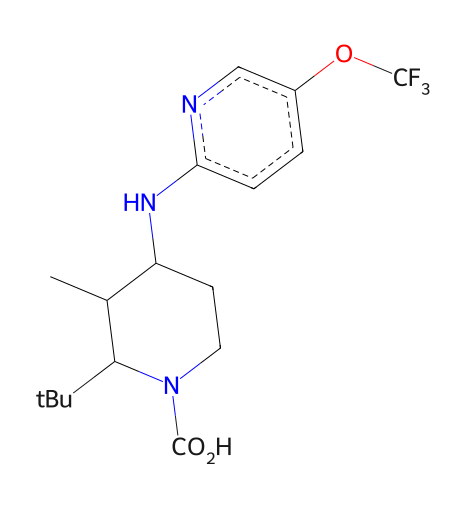 CC1C(Nc2ccc(OC(F)(F)F)cn2)CCN(C(=O)O)C1C(C)(C)C